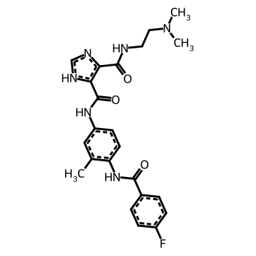 Cc1cc(NC(=O)c2[nH]cnc2C(=O)NCCN(C)C)ccc1NC(=O)c1ccc(F)cc1